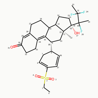 CCS(=O)(=O)C1=CCC([C@H]2C[C@@]3(C)C(CC[C@@]3(O)C(C)(F)C(C)(F)F)C3CCC4=CC(=O)CCC4=C32)C=C1